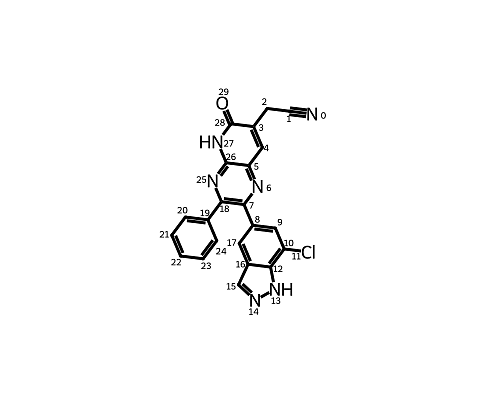 N#CCc1cc2nc(-c3cc(Cl)c4[nH]ncc4c3)c(-c3ccccc3)nc2[nH]c1=O